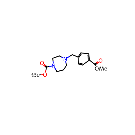 COC(=O)c1ccc(CN2CCCN(C(=O)OC(C)(C)C)CC2)cc1